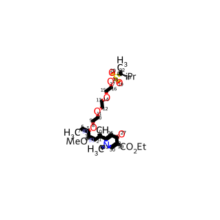 C=C(/C=C(OC)\C(=C/C)OCCOCCOCCOS(=O)(=O)[C@@H](C)C(C)C)c1cc(=O)c(C(=O)OCC)cn1C